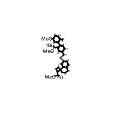 COC(=O)C1CCC12CCCc1ccc(OCc3ccc(-c4cc(OC)ccc4F)c([C@H](OC)C(C)(C)C)c3)cc12